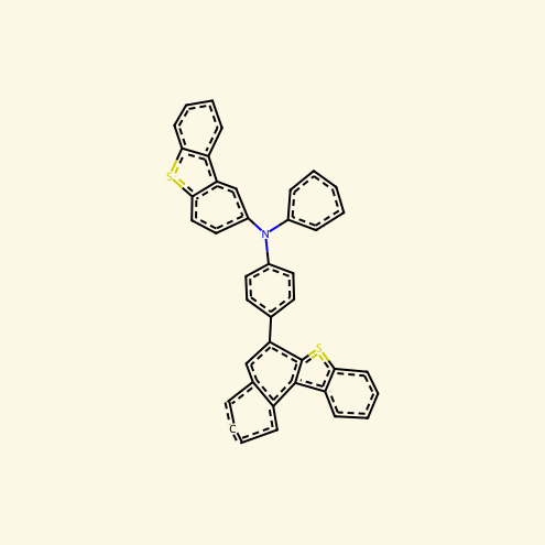 c1ccc(N(c2ccc(-c3cc4ccccc4c4c3sc3ccccc34)cc2)c2ccc3sc4ccccc4c3c2)cc1